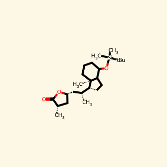 C[C@H](C[C@@H]1C[C@H](C)C(=O)O1)[C@H]1CCC2C(O[Si](C)(C)C(C)(C)C)CCC[C@@]21C